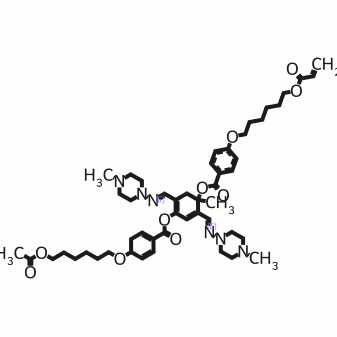 C=CC(=O)OCCCCCCOc1ccc(C(=O)OC2(C)CC(/C=N/N3CCN(C)CC3)=C(OC(=O)C3=CCC(OCCCCCCOC(C)=O)C=C3)C=C2/C=N/N2CCN(C)CC2)cc1